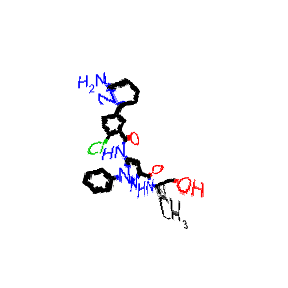 C[C@H](CO)NC(=O)c1cc(NC(=O)c2cc(-c3cccc(N)n3)ccc2Cl)n(-c2ccccc2)n1